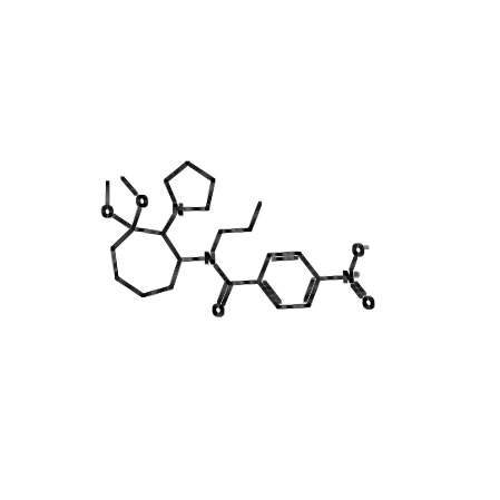 CCCN(C(=O)c1ccc([N+](=O)[O-])cc1)C1CCCCC(OC)(OC)C1N1CCCC1